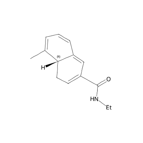 CCNC(=O)C1=CC[C@@H]2C(C)=CC=CC2=C1